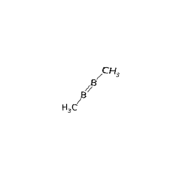 C/B=B/C